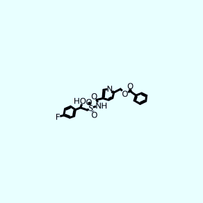 O=C(NS(=O)(=O)CC(O)c1ccc(F)cc1)c1ccc(COC(=O)c2ccccc2)nc1